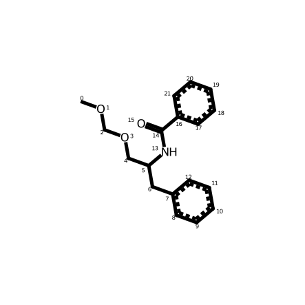 COCOCC(Cc1ccccc1)NC(=O)c1ccccc1